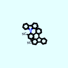 N#Cc1cc(C#N)c(-n2c3ccccc3c3ccccc32)c(-c2ccccc2C2c3ccccc3-c3ccccc32)c1